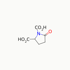 O=C(O)C1CCC(=O)N1C(=O)O